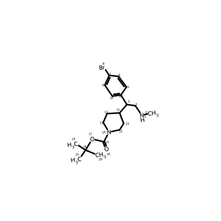 CNCC(c1ccc(Br)cc1)C1CCN(C(=O)OC(C)(C)C)CC1